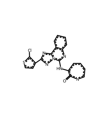 O=c1nccccc1Nc1nc2ccccc2c2nc(-c3ccsc3Cl)nn12